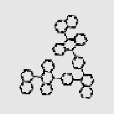 c1ccc2c(-c3c4ccccc4c(-c4ccc(-c5ccc6ccccc6c5-c5ccc(-c6c7ccccc7c(-c7cccc8ccccc78)c7ccccc67)cc5)cc4)c4ccccc34)cccc2c1